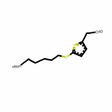 CCCCCCCCCCCCCCSc1ccc(CC=O)s1